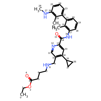 CCOC(=O)CCCNCc1cnc(C(=O)Nc2cccc(-c3cccc(NC)c3C)c2C)cc1C1CC1